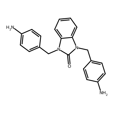 Nc1ccc(Cn2c(=O)n(Cc3ccc(N)cc3)c3ccccc32)cc1